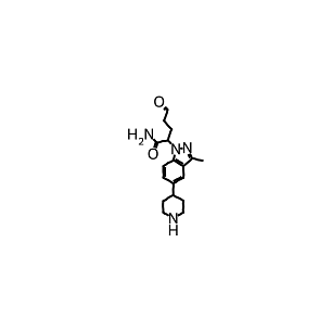 Cc1nn(C(CCC=O)C(N)=O)c2ccc(C3CCNCC3)cc12